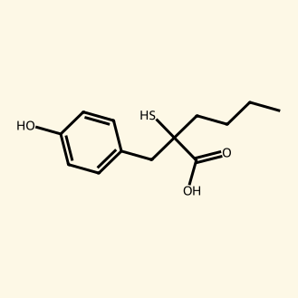 CCCCC(S)(Cc1ccc(O)cc1)C(=O)O